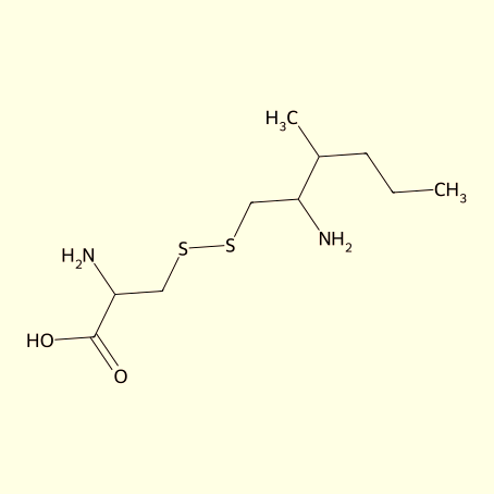 CCCC(C)C(N)CSSCC(N)C(=O)O